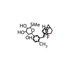 CS[C@H]1O[C@@H](c2ccc(C)c(Cc3ccc([C@@]45CCC(F)(F)C[C@@H]4C5)s3)c2)[C@H](O)[C@@H](O)[C@@H]1O